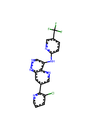 FC(F)(F)c1ccc(Nc2cnnc3cc(-c4ncccc4Cl)cnc23)nc1